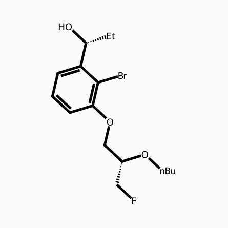 CCCCO[C@H](CF)COc1cccc([C@H](O)CC)c1Br